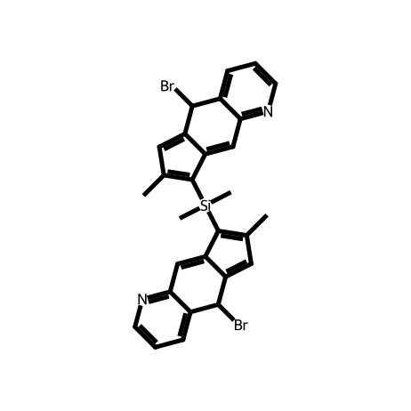 CC1=C([Si](C)(C)C2=C(C)C=C3C2=Cc2ncccc2C3Br)C2=Cc3ncccc3C(Br)C2=C1